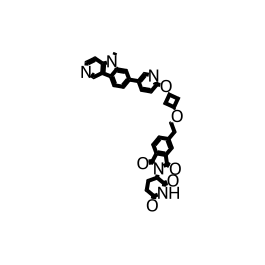 Cn1c2ccncc2c2ccc(-c3ccc(O[C@H]4C[C@H](OCCc5ccc6c(c5)C(=O)N(C5CCC(=O)NC5=O)C6=O)C4)nc3)cc21